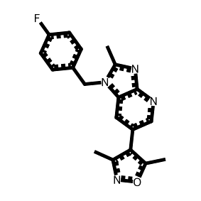 Cc1noc(C)c1-c1cnc2nc(C)n(Cc3ccc(F)cc3)c2c1